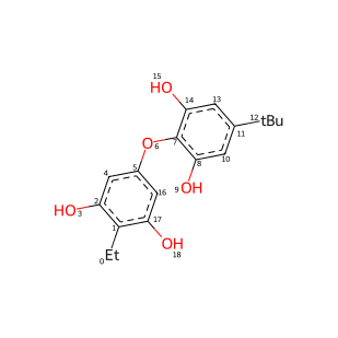 CCc1c(O)cc(Oc2c(O)cc(C(C)(C)C)cc2O)cc1O